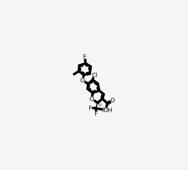 Cc1cc(F)ccc1Oc1cc2c(cc1Cl)C=C(C(=O)O)[C@@H](C(F)(F)F)O2